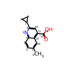 Cc1ccc2nc(C3CC3)cc(C(=O)O)c2c1